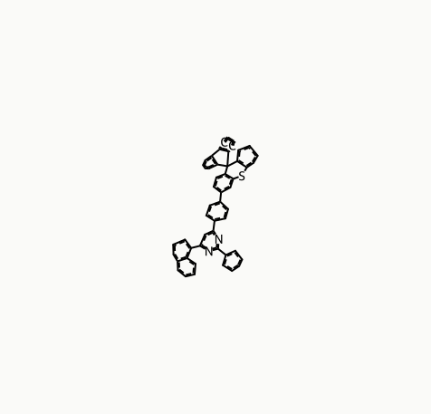 c1ccc(-c2nc(-c3ccc(-c4ccc5c(c4)Sc4ccccc4C54c5ccccc5-c5ccccc54)cc3)cc(-c3cccc4ccccc34)n2)cc1